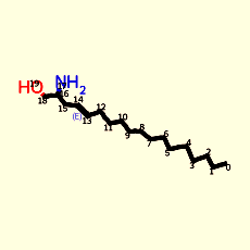 CCCCCCCCCCCCC/C=C/CC(N)CO